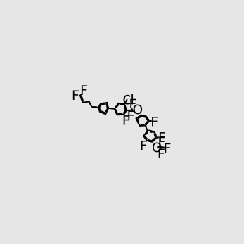 FC(F)=CCCc1ccc(-c2cc(F)c(C(F)(F)Oc3ccc(-c4cc(F)c(OC(F)(F)F)c(F)c4)c(F)c3)c(Cl)c2)cc1